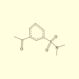 CC(=O)c1cccc(S(=O)(=O)N(C)C)c1